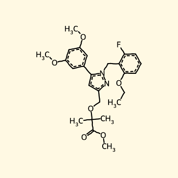 CCOc1cccc(F)c1Cn1nc(COC(C)(C)C(=O)OC)cc1-c1cc(OC)cc(OC)c1